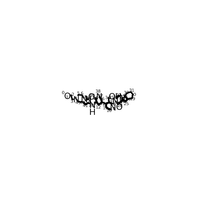 COCCN1CCn2nc(Nc3cc(-c4ccnc(-n5ccn6c7c(cc6c5=O)CCCC7)c4CO)cn(C)c3=O)cc2C1